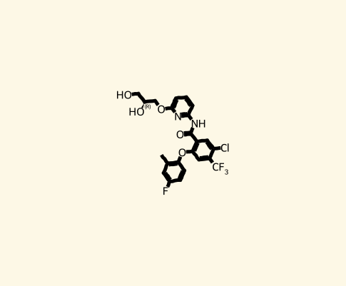 Cc1cc(F)ccc1Oc1cc(C(F)(F)F)c(Cl)cc1C(=O)Nc1cccc(OC[C@H](O)CO)n1